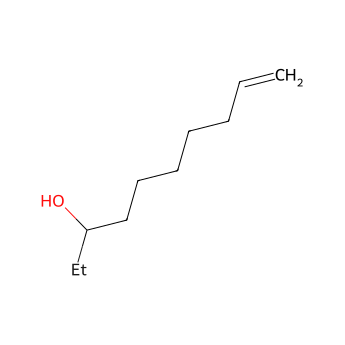 C=CCCCCCC(O)CC